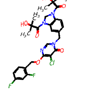 CC(C)(O)C(=O)N1CN(C(=O)C(C)(C)O)c2cc(Cn3cnc(OCc4ccc(F)cc4F)c(Cl)c3=O)ccc21